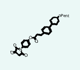 CCCCCC1CCC(c2ccc(/C=C/C(=O)Oc3ccc(N4C(=O)CC(=O)C4=O)cc3)cc2)CC1